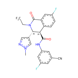 Cn1cc([C@H]2[C@H](C(=O)Nc3cc(F)cc(C#N)c3)c3ccc(F)cc3C(=O)N2CC(F)(F)F)cn1